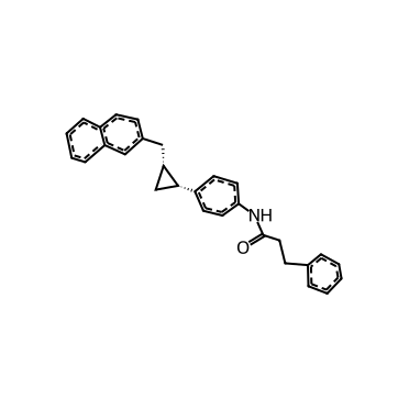 O=C(CCc1ccccc1)Nc1ccc([C@@H]2C[C@@H]2Cc2ccc3ccccc3c2)cc1